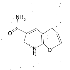 NC(=O)C1=CC2=C(NC1)OC=CC2